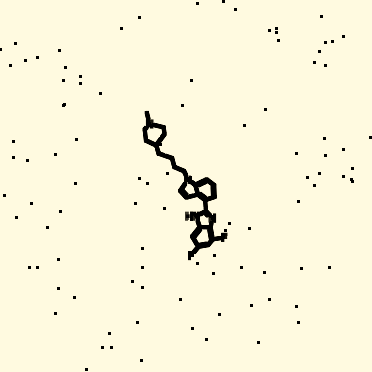 CN1CCC(CCCCn2ccc3c(-c4nc5c(F)cc(F)cc5[nH]4)cccc32)CC1